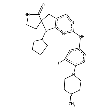 CN1CCN(c2ccc(Nc3ncc4c(n3)N(C3CCCC3)C3(CCNC3=O)C4)cc2F)CC1